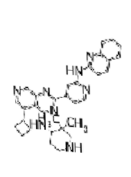 CC1(C)CNCC[C@@H]1Nc1nc(-c2ccnc(Nc3ccc4ccccc4n3)c2)nc2cncc(C3CCC3)c12